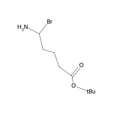 CC(C)(C)OC(=O)CCCC(N)Br